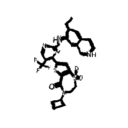 CCc1cc2c(cc1Nc1ncc(C(F)(F)F)c(-c3cc4c(s3)C(=O)N(C3CCC3)CCS4(=O)=O)n1)CNCC2